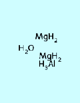 O.[AlH3].[MgH2].[MgH2]